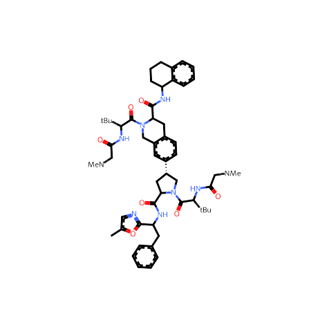 CNCC(=O)NC(C(=O)N1C[C@@H](c2ccc3c(c2)CN(C(=O)C(NC(=O)CNC)C(C)(C)C)C(C(=O)NC2CCCc4ccccc42)C3)CC1C(=O)NC(Cc1ccccc1)c1ncc(C)o1)C(C)(C)C